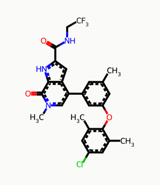 Cc1cc(Oc2c(C)cc(Cl)cc2C)cc(-c2cn(C)c(=O)c3[nH]c(C(=O)NCC(F)(F)F)cc23)c1